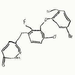 O=c1ccc(Cc2ccc(Cl)c(Oc3cc(Br)ccc3Cl)c2F)n[nH]1